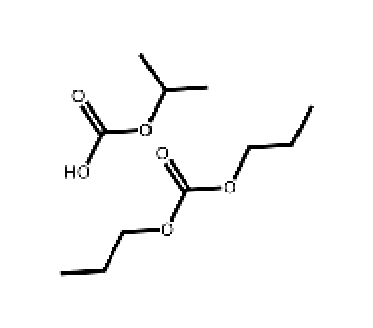 CC(C)OC(=O)O.CCCOC(=O)OCCC